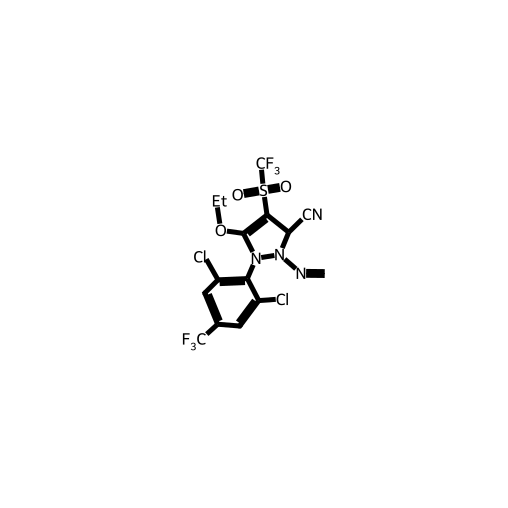 C=NN1C(C#N)C(S(=O)(=O)C(F)(F)F)=C(OCC)N1c1c(Cl)cc(C(F)(F)F)cc1Cl